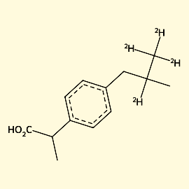 [2H]C([2H])([2H])C([2H])(C)Cc1ccc(C(C)C(=O)O)cc1